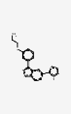 NCCOc1cccc(-c2n[nH]c3ccc(-c4ncn[nH]4)cc23)c1